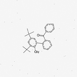 CC(C)(C)c1cc(-c2ccccc2C(=O)c2ccccc2)c(O)c(C(C)(C)C)c1